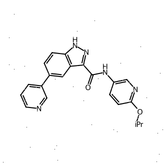 CC(C)Oc1ccc(NC(=O)c2n[nH]c3ccc(-c4cccnc4)cc23)cn1